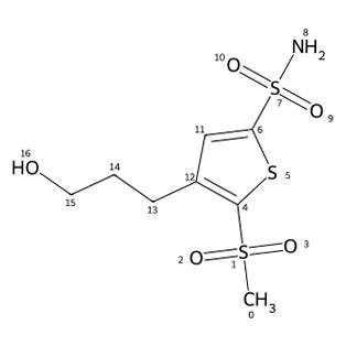 CS(=O)(=O)c1sc(S(N)(=O)=O)cc1CCCO